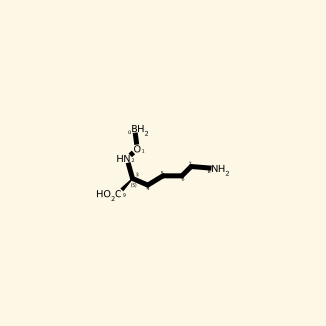 BON[C@@H](CCCCN)C(=O)O